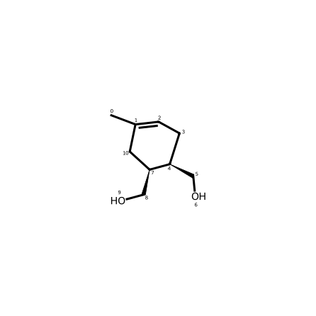 CC1=CC[C@@H](CO)[C@@H](CO)C1